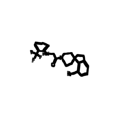 O=C(CNc1ccccc1C(F)(F)F)N1CCC2(C=Cc3cccc(Br)c32)CC1